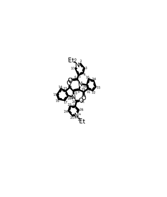 CC[n+]1cccc(C(=O)N2/C(=C3\C(=O)c4ccccc4N3C(=O)c3ccc[n+](CC)c3)C(=O)c3ccccc32)c1